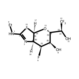 CCNC1=N[C@@H]2[C@H](F)[C@H](O)[C@@H]([C@H](O)C(F)(F)F)O[C@@H]2S1